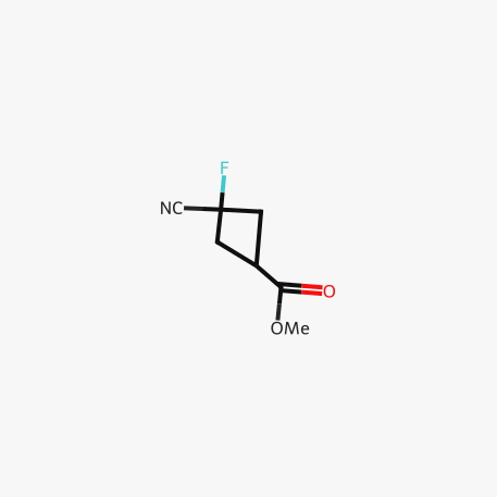 COC(=O)C1CC(F)(C#N)C1